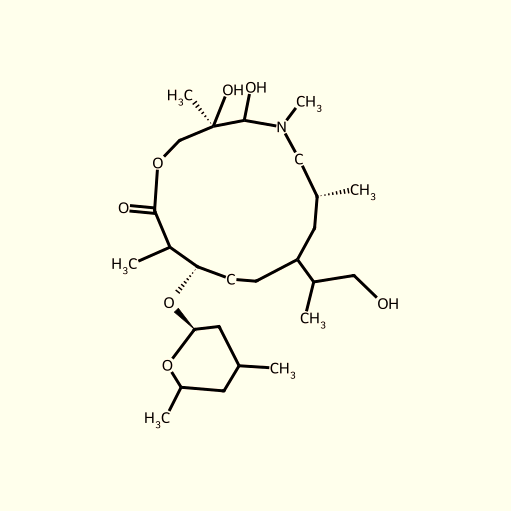 CC1CC(C)O[C@@H](O[C@H]2CCC(C(C)CO)C[C@@H](C)CN(C)C(O)[C@](C)(O)COC(=O)C2C)C1